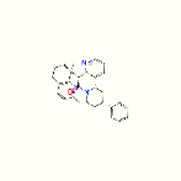 Cc1ccc2c(n1)[C@]1(CCC2)CNC[C@H]1C(=O)N1CC[C@@H](c2ccccc2)C[C@H]1c1ccccc1